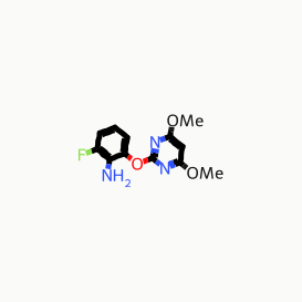 COc1cc(OC)nc(Oc2cccc(F)c2N)n1